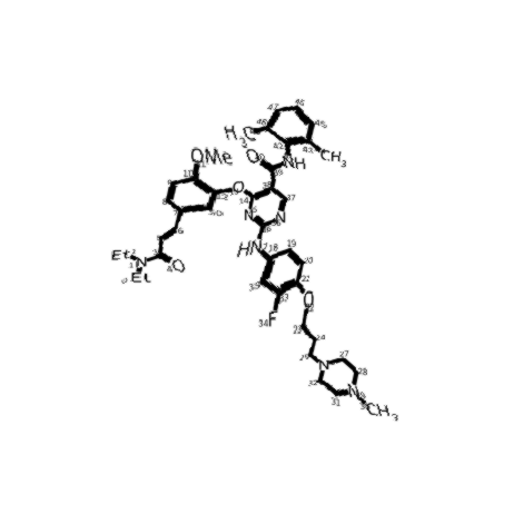 CCN(CC)C(=O)C=Cc1ccc(OC)c(Oc2nc(Nc3ccc(OCCCN4CCN(C)CC4)c(F)c3)ncc2C(=O)Nc2c(C)cccc2C)c1